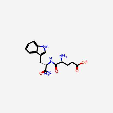 NC(=O)[C@H](Cc1c[nH]c2ccccc12)NC(=O)[C@@H](N)CCC(=O)O